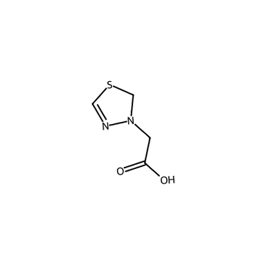 O=C(O)CN1CSC=N1